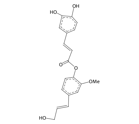 COc1cc(C=CCO)ccc1OC(=O)C=Cc1ccc(O)c(O)c1